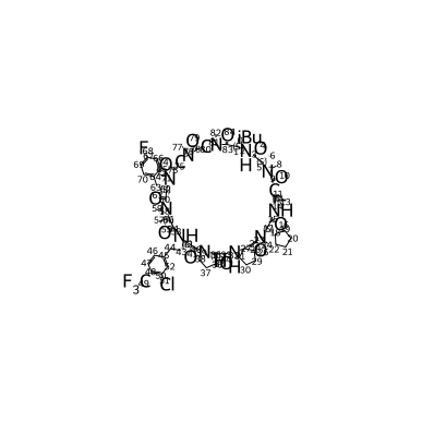 CCC(C)[C@@H]1NC(=O)[C@H](C)N(C)C(=O)C[C@@H](C)NC(=O)[C@H](C2CCCC2)N(C)C(=O)C2(CCCC2)NC(=O)[C@@H]2CCCN2C(=O)[C@H](CCc2ccc(C(F)(F)F)c(Cl)c2)NC(=O)[C@@H](C)N(C)C(=O)[C@H](Cc2ccc(F)cc2)N(C)C(=O)CN(C)C(=O)CN(C)C1=O